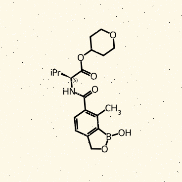 Cc1c(C(=O)N[C@H](C(=O)OC2CCOCC2)C(C)C)ccc2c1B(O)OC2